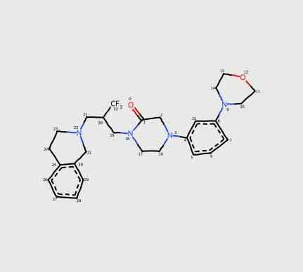 O=C1CN(c2cccc(N3CCOCC3)c2)CCN1CC(CN1CCc2ccccc2C1)C(F)(F)F